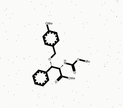 COC(=O)[C@@H](NC(=O)OC(C)(C)C)[C@@H](OCc1ccc(OC)cc1)c1ccccc1